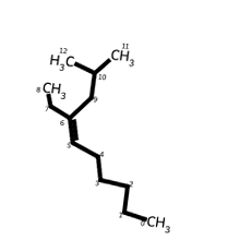 CCCCCC=C(CC)CC(C)C